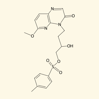 COc1ccc2ncc(=O)n(CCC(O)COS(=O)(=O)c3ccc(C)cc3)c2n1